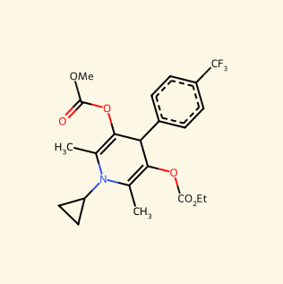 CCOC(=O)OC1=C(C)N(C2CC2)C(C)=C(OC(=O)OC)C1c1ccc(C(F)(F)F)cc1